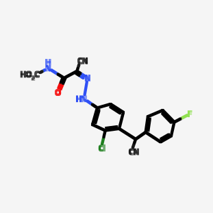 N#CC(=NNc1ccc(C(C#N)c2ccc(F)cc2)c(Cl)c1)C(=O)NC(=O)O